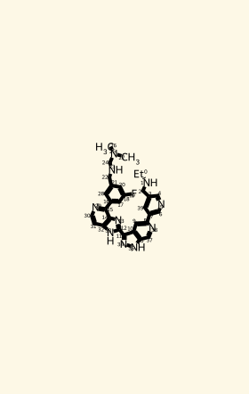 CCNCc1cncc(-c2cc3c(-c4nc5c(-c6cc(F)cc(CNCN(C)C)c6)nccc5[nH]4)n[nH]c3cn2)c1